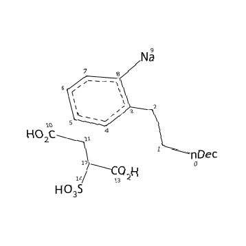 CCCCCCCCCCCCc1cccc[c]1[Na].O=C(O)CC(C(=O)O)S(=O)(=O)O